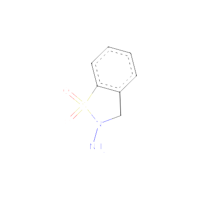 NN1Cc2ccccc2S1(=O)=O